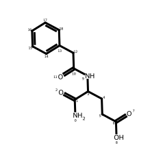 NC(=O)C(CCC(=O)O)NC(=O)Cc1ccccc1